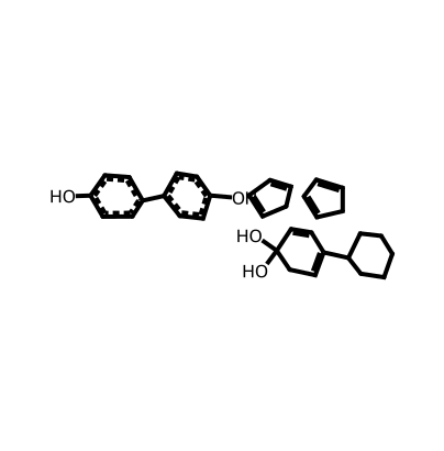 C1=CCC=C1.C1=CCC=C1.OC1(O)C=CC(C2CCCCC2)=CC1.Oc1ccc(-c2ccc(O)cc2)cc1